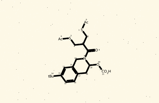 CC(=O)SCC(CSC(C)=O)C(=O)N1Cc2cc(C(C)(C)C)ccc2CC1OC(=O)O